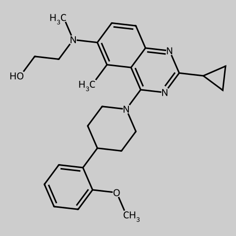 COc1ccccc1C1CCN(c2nc(C3CC3)nc3ccc(N(C)CCO)c(C)c23)CC1